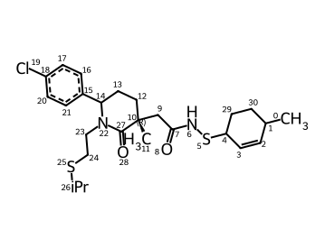 CC1C=CC(SNC(=O)C[C@@]2(C)CCC(c3ccc(Cl)cc3)N(CCSC(C)C)C2=O)CC1